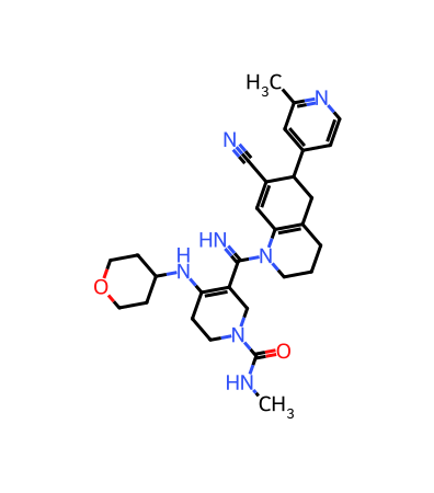 CNC(=O)N1CCC(NC2CCOCC2)=C(C(=N)N2CCCC3=C2C=C(C#N)C(c2ccnc(C)c2)C3)C1